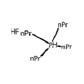 CCC[PH](CCC)(CCC)CCC.F